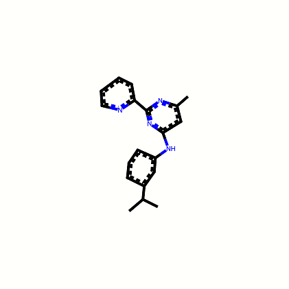 Cc1cc(Nc2cccc(C(C)C)c2)nc(-c2ccccn2)n1